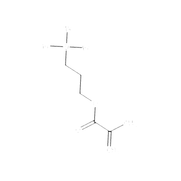 C=C(C)C(=O)OCCC[Si](Br)(Br)Br